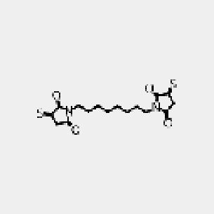 O=C1CC(=S)C(=O)N1CCCCCCCCN1C(=O)CC(=S)C1=O